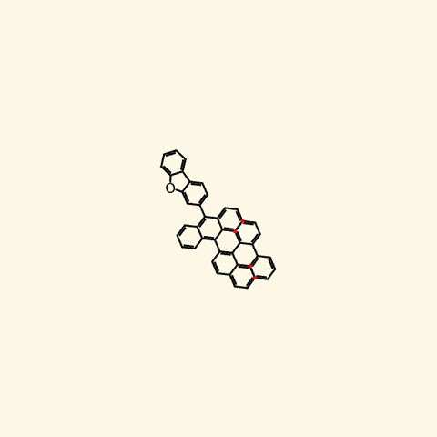 c1ccc(-c2ccccc2-c2c(-c3c4ccccc4c(-c4ccc5c(c4)oc4ccccc45)c4ccccc34)ccc3ccccc23)cc1